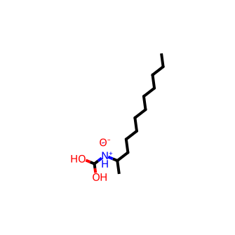 CCCCCCCCCCC(C)[NH+]([O-])C(O)O